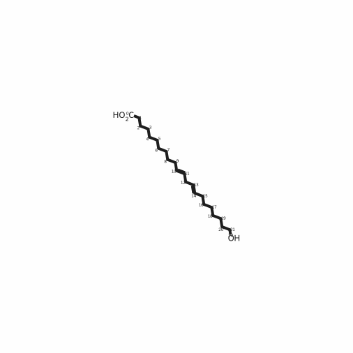 O=C(O)CCCCCCCCCC=CCC=CCCCCCCCO